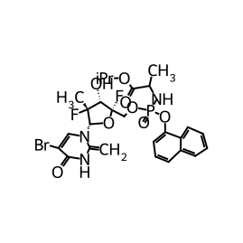 C=C1NC(=O)C(Br)=CN1[C@H]1O[C@](F)(COP(=O)(NC(C)C(=O)OC(C)C)Oc2cccc3ccccc23)[C@@H](O)[C@@]1(C)F